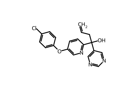 C=CCC(O)(c1cncnc1)c1ccc(Oc2ccc(Cl)cc2)cn1